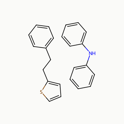 c1ccc(CCc2cccs2)cc1.c1ccc(Nc2ccccc2)cc1